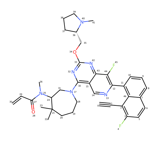 C#Cc1c(F)ccc2cccc(-c3ncc4c(N5CCCC(C)(C)C(N(C)C(=O)C=C)C5)nc(OC[C@@H]5CCCN5C)nc4c3F)c12